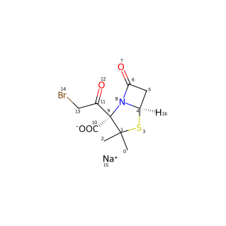 CC1(C)S[C@@H]2CC(=O)N2[C@]1(C(=O)[O-])C(=O)CBr.[Na+]